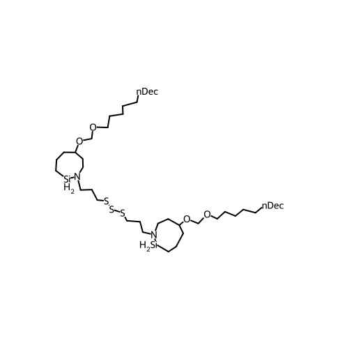 CCCCCCCCCCCCCCCOCOC1CCC[SiH2]N(CCCSSSCCCN2CCC(OCOCCCCCCCCCCCCCCC)CCC[SiH2]2)CC1